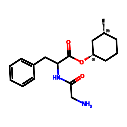 C[C@@H]1CCC[C@H](OC(=O)C(Cc2ccccc2)NC(=O)CN)C1